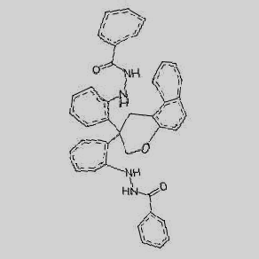 O=C(NNc1ccccc1C1(c2ccccc2NNC(=O)c2ccccc2)COc2ccc3ccccc3c2C1)c1ccccc1